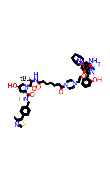 Cc1ncsc1-c1ccc(CNC(=O)[C@@H]2C[C@@H](O)CN2C(=O)C(NC(=O)CCCCCC(=O)N2CCN(CCOc3cccc(N4C5CCC4CN(c4cc(-c6ccccc6O)nnc4N)C5)c3)CC2)C(C)(C)C)cc1